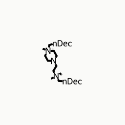 CCCCCCCCCCC[N+](C)(C)CCN1CC[N+](C)(CCCCCCCCCCC)CC1